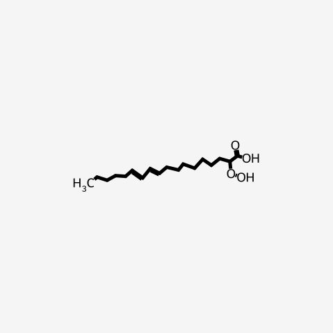 CCCCC/C=C/C=C/CCCCCCCC(OO)C(=O)O